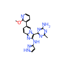 COc1ncccc1-c1ccc2nc(Nc3cc[nH]n3)c(-c3nc(C)nc(N)n3)n2c1